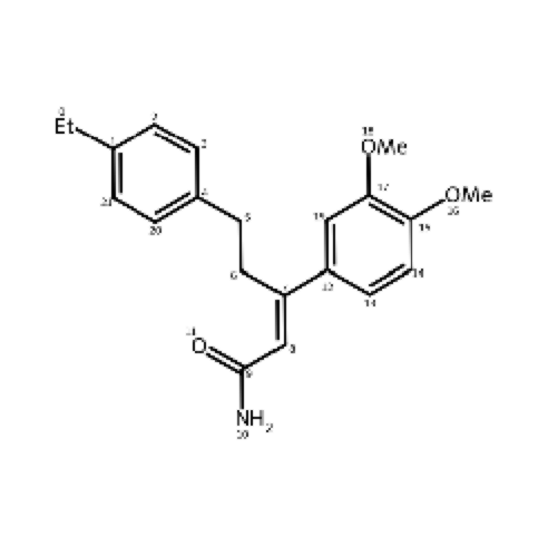 CCc1ccc(CC/C(=C\C(N)=O)c2ccc(OC)c(OC)c2)cc1